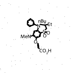 CCCC[C@@]1(CC)CN(c2ccccc2)c2cc(NC)c(O/C=C/C(=O)O)cc2S(=O)(=O)C1